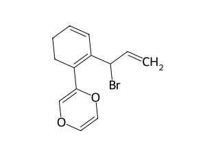 C=CC(Br)C1=C(C2=COC=CO2)CCC=C1